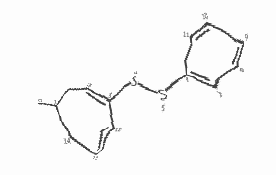 CC1C=C(SSc2ccccc2)C=CC1